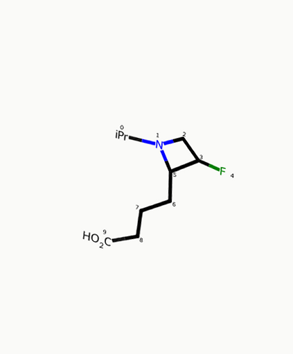 CC(C)N1CC(F)C1CCCC(=O)O